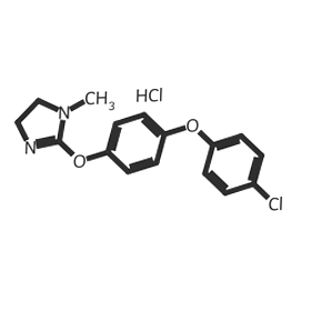 CN1CCN=C1Oc1ccc(Oc2ccc(Cl)cc2)cc1.Cl